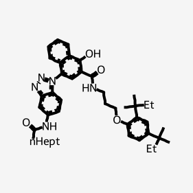 CCCCCCCC(=O)Nc1ccc2c(c1)nnn2-c1cc(C(=O)NCCCOc2ccc(C(C)(C)CC)cc2C(C)(C)CC)c(O)c2ccccc12